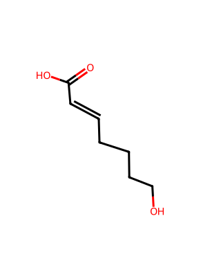 O=C(O)C=CCCCCO